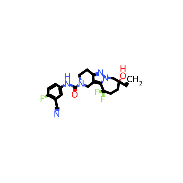 C=C[C@]1(O)CCC(F)(F)c2c3c(nn2C1)CCN(C(=O)Nc1ccc(F)c(C#N)c1)C3